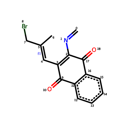 C=NC1=C(/C=C(\C)CBr)C(=O)c2ccccc2C1=O